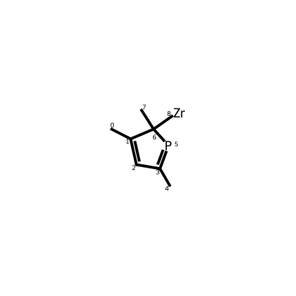 CC1=CC(C)=P[C]1(C)[Zr]